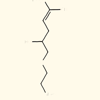 CCCCCCCCCOCC(O)CC=C(C)C(=O)O